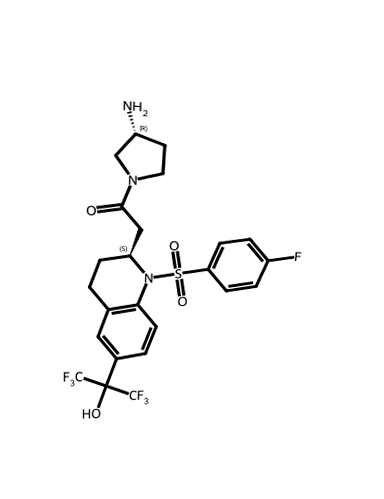 N[C@@H]1CCN(C(=O)C[C@@H]2CCc3cc(C(O)(C(F)(F)F)C(F)(F)F)ccc3N2S(=O)(=O)c2ccc(F)cc2)C1